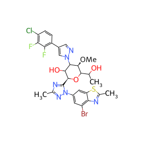 CO[C@H]1C(C(C)O)O[C@@H](c2nc(C)nn2-c2cc(Br)c3nc(C)sc3c2)C(O)C1n1cc(-c2ccc(Cl)c(F)c2F)cn1